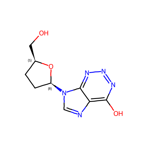 OC[C@@H]1CC[C@H](n2cnc3c(O)nnnc32)O1